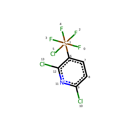 FS(F)(F)(F)(Cl)c1ccc(Cl)nc1Cl